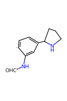 O=CNc1[c]ccc(C2CCCN2)c1